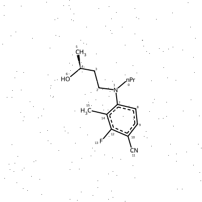 CCCN(CC[C@H](C)O)c1ccc(C#N)c(F)c1C